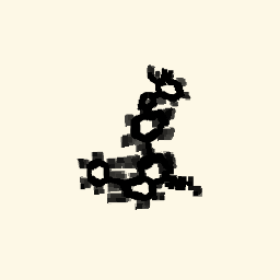 Cc1ncccc1Oc1ccc(-c2cc3c(-c4ccccc4)cccc3c(N)n2)cn1